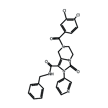 O=C(NCc1ccccc1)c1c2n(c(=O)n1-c1cccnc1)CCN(C(=O)c1ccc(Cl)c(Cl)c1)C2